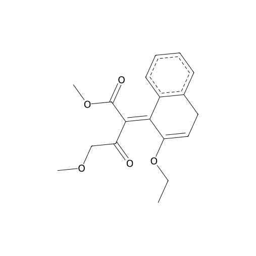 CCOC1=CCc2ccccc2C1=C(C(=O)COC)C(=O)OC